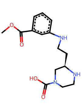 COC(=O)c1cccc(NCC[C@@H]2CN(C(=O)O)CCN2)c1